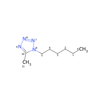 CCCCCCn1nnnc1C